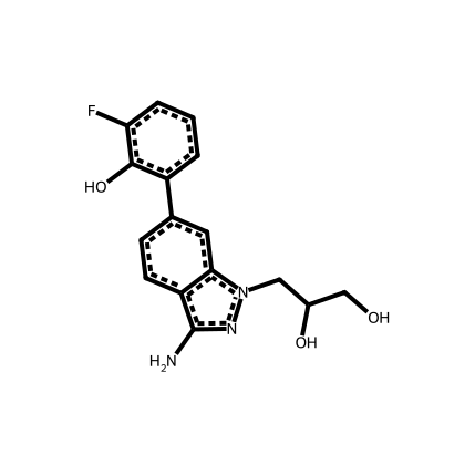 Nc1nn(CC(O)CO)c2cc(-c3cccc(F)c3O)ccc12